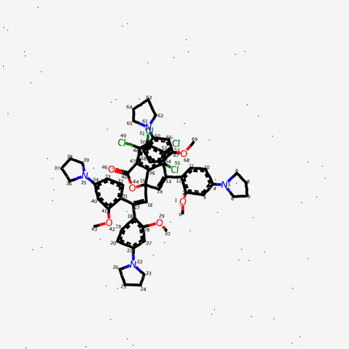 COc1cc(N2CCCC2)ccc1C(=CC1(C=C(c2ccc(N3CCCC3)cc2OC)c2ccc(N3CCCC3)cc2OC)OC(=O)c2c(Cl)c(Cl)c(Cl)c(Cl)c21)c1ccc(N2CCCC2)cc1OC